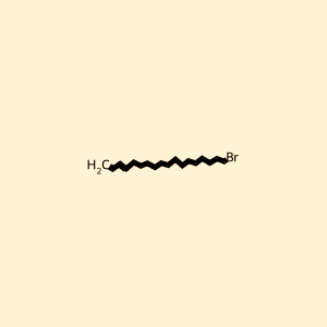 C=C/C=C/CCCCCCCCCCCCCCBr